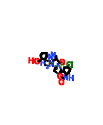 Cc1c(CO)cccc1-n1ncc(C(=O)N2CCC[C@@]3(C2)OC(=O)Nc2ccc(Cl)c(F)c23)c1N